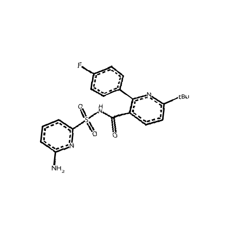 CC(C)(C)c1ccc(C(=O)NS(=O)(=O)c2cccc(N)n2)c(-c2ccc(F)cc2)n1